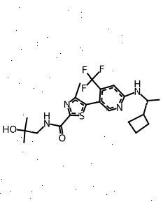 Cc1nc(C(=O)NCC(C)(C)O)sc1-c1cnc(NC(C)C2CCC2)cc1C(F)(F)F